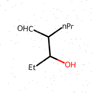 CCCC(C=O)C(O)CC